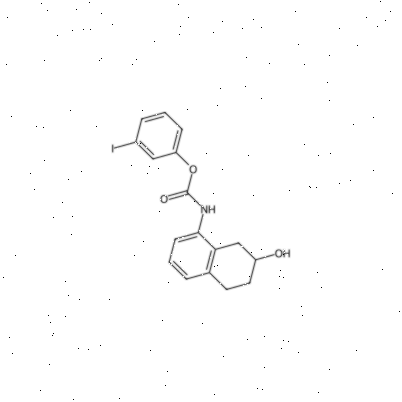 O=C(Nc1cccc2c1CC(O)CC2)Oc1cccc(I)c1